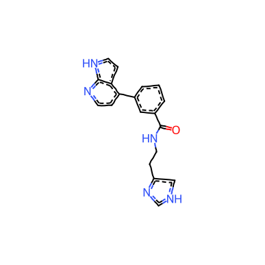 O=C(NCCc1c[nH]cn1)c1cccc(-c2ccnc3[nH]ccc23)c1